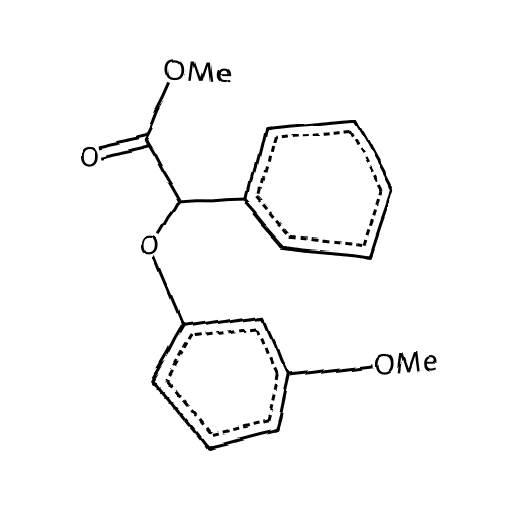 COC(=O)C(Oc1cccc(OC)c1)c1ccccc1